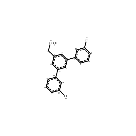 O=C(O)Cc1cc(-c2cccc(Cl)c2)cc(-c2cccc(Cl)c2)c1